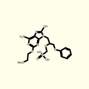 COCCOc1nc(N)c2nc(O)n(CC(COc3ccccc3)OCP(=O)(O)O)c2n1